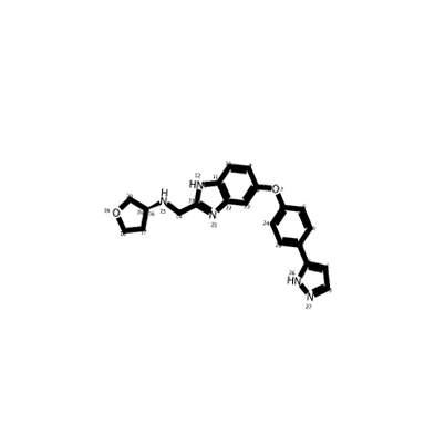 c1cc(-c2ccc(Oc3ccc4[nH]c(CN[C@H]5CCOC5)nc4c3)cc2)[nH]n1